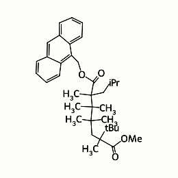 COC(=O)C(C)(CC(C)(C)C(C)(C)C(C)(CC(C)C)C(=O)OCc1c2ccccc2cc2ccccc12)C(C)(C)C